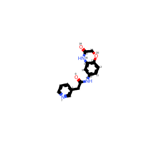 O=C(Cc1cccnc1)Nc1ccc2c(c1)NC(=O)CO2